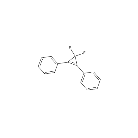 FC1(F)C(c2ccccc2)=C1c1ccccc1